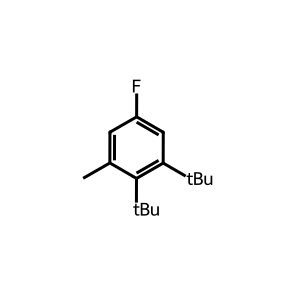 Cc1cc(F)cc(C(C)(C)C)c1C(C)(C)C